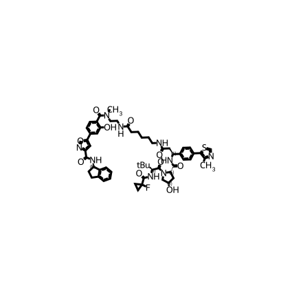 Cc1ncsc1-c1ccc([C@H](CC(=O)NCCCCCC(=O)NCCN(C)C(=O)c2ccc(-c3cc(C(=O)N[C@@H]4CCc5ccccc54)no3)cc2O)NC(=O)[C@@H]2C[C@@H](O)CN2C(=O)[C@@H](NC(=O)C2(F)CC2)C(C)(C)C)cc1